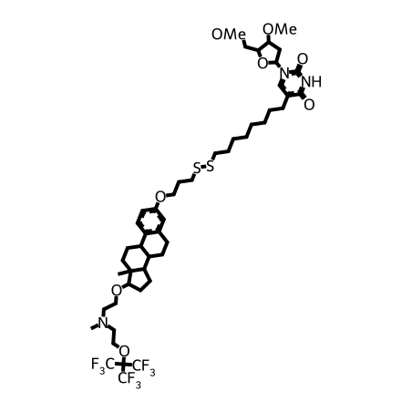 COCC1OC(n2cc(CCCCCCCCSSCCCOc3ccc4c(c3)CCC3C4CCC4(C)C(OCCN(C)CCOC(C(F)(F)F)(C(F)(F)F)C(F)(F)F)CCC34)c(=O)[nH]c2=O)CC1OC